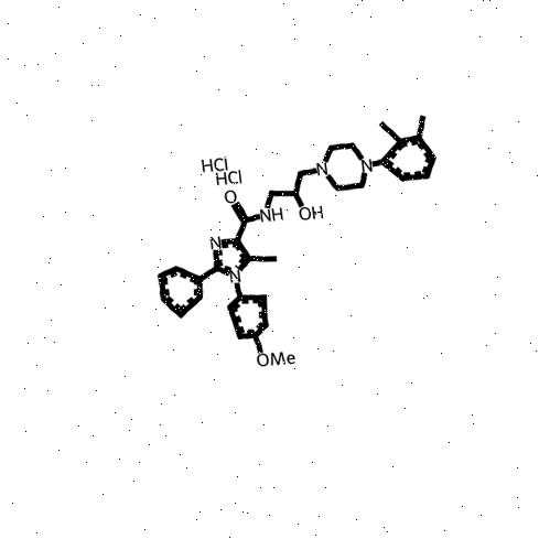 COc1ccc(-n2c(-c3ccccc3)nc(C(=O)NCC(O)CN3CCN(c4cccc(C)c4C)CC3)c2C)cc1.Cl.Cl